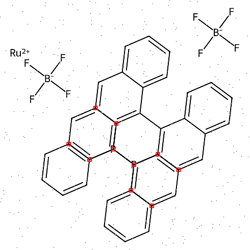 F[B-](F)(F)F.F[B-](F)(F)F.[Ru+2].c1ccc(P(c2ccccc2)c2ccc3ccccc3c2-c2c(P(c3ccccc3)c3ccccc3)ccc3ccccc23)cc1